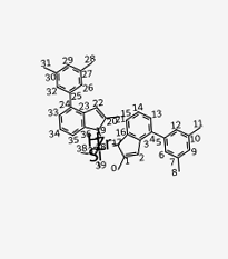 CC1=Cc2c(-c3cc(C)cc(C)c3)cccc2[CH]1[Zr]([CH]1C(C)=Cc2c(-c3cc(C)cc(C)c3)cccc21)[SiH](C)C